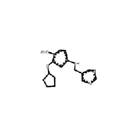 COc1ccc(NCc2cncnc2)cc1OC1CCCC1